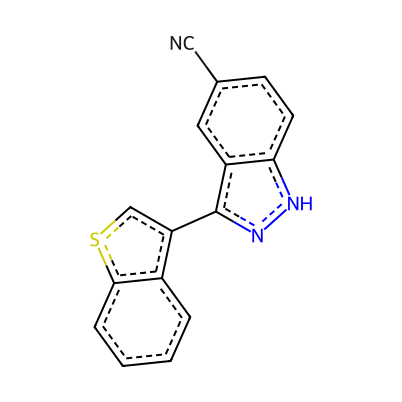 N#Cc1ccc2[nH]nc(-c3csc4ccccc34)c2c1